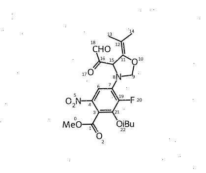 COC(=O)c1c([N+](=O)[O-])cc(N2COC(=C(C)C)C2C(=O)C=O)c(F)c1OCC(C)C